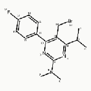 CC(C)c1nc(N(C)C)nc(-c2ccc(F)cc2)c1CBr